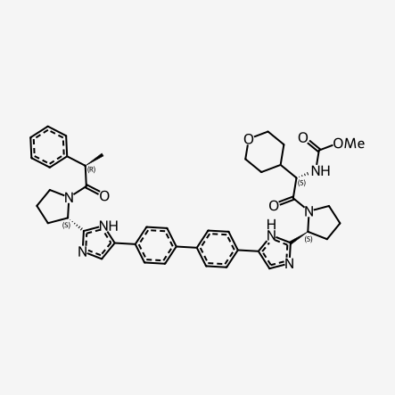 COC(=O)N[C@H](C(=O)N1CCC[C@H]1c1ncc(-c2ccc(-c3ccc(-c4cnc([C@@H]5CCCN5C(=O)[C@H](C)c5ccccc5)[nH]4)cc3)cc2)[nH]1)C1CCOCC1